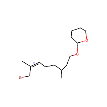 C/C(=C/CCC(C)CCOC1CCCCO1)CBr